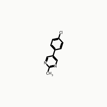 Cc1ncc(-c2ccc(Cl)cc2)cn1